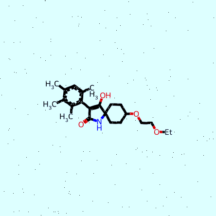 CCOCCOC1CCC2(CC1)NC(=O)C(c1c(C)cc(C)c(C)c1C)=C2O